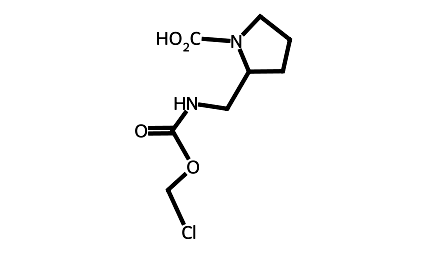 O=C(NCC1CCCN1C(=O)O)OCCl